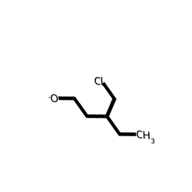 CCC(CCl)CC[O]